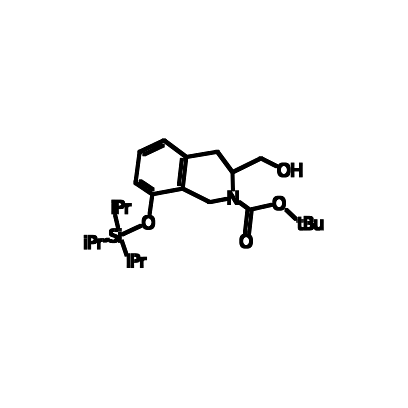 CC(C)[Si](Oc1cccc2c1CN(C(=O)OC(C)(C)C)C(CO)C2)(C(C)C)C(C)C